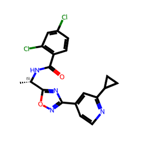 C[C@H](NC(=O)c1ccc(Cl)cc1Cl)c1nc(-c2ccnc(C3CC3)c2)no1